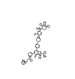 CN(C)C(=O)c1cc2c(-c3ccc(C4CCN(c5ccc(N[C@H]6CCC(=O)NC6=O)cc5F)CC4)cc3)cc(C3=CCCN(C(=O)CCn4cccn4)C3)c(F)c2[nH]1